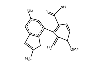 C=C1C(c2cc(C(C)(C)C)cc3c2CC(C)=C3)=C(C([NH])=O)C=CC1OC